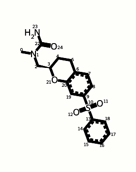 CN(C[C@H]1CCc2ccc(S(=O)(=O)c3ccccc3)cc2O1)C(N)=O